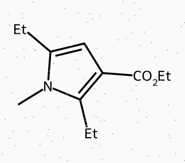 CCOC(=O)c1cc(CC)n(C)c1CC